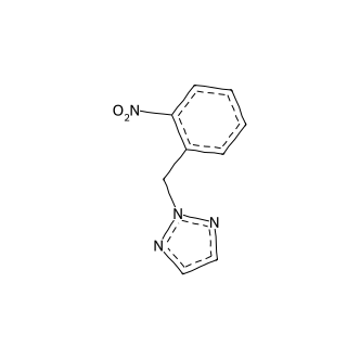 O=[N+]([O-])c1ccccc1Cn1nccn1